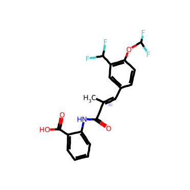 C/C(=C\c1ccc(OC(F)F)c(C(F)F)c1)C(=O)Nc1ccccc1C(=O)O